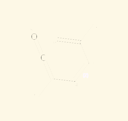 C=C(C)/C=C\C(C)=C=O